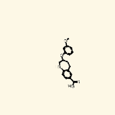 COc1cccc(OC2CCc3cc(C(=O)O)ccc3NC2)c1